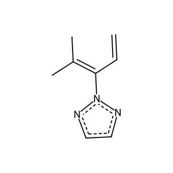 C=CC(=C(C)C)n1nccn1